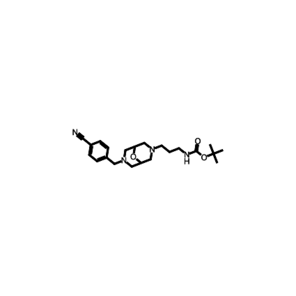 CC(C)(C)OC(=O)NCCCN1CC2CN(Cc3ccc(C#N)cc3)CC(C1)O2